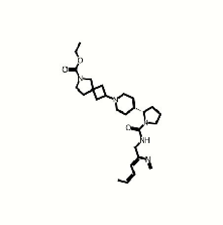 C=N/C(=C\C=C/C)CNC(=O)N1CCC[C@H]1C1CCN(C2CC3(CCN(C(=O)OCC)C3)C2)CC1